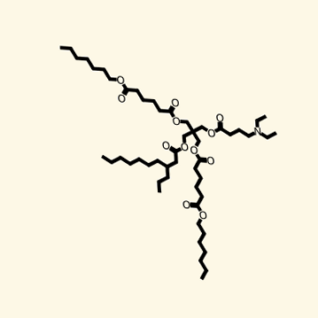 CCCCCCCOC(=O)CCCCC(=O)OCC(COC(=O)CCCCC(=O)OCCCCCCC)(COC(=O)CCCN(CC)CC)COC(=O)CC(CCC)CCCCCCC